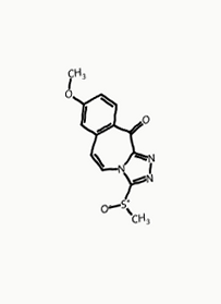 COc1ccc2c(=O)c3nnc([S+](C)[O-])n3ccc2c1